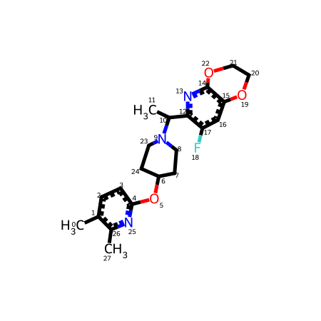 Cc1ccc(OC2CCN(C(C)c3nc4c(cc3F)OCCO4)CC2)nc1C